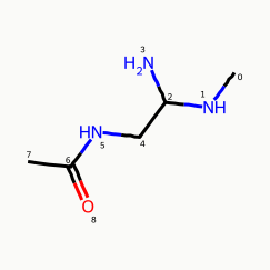 CNC(N)CNC(C)=O